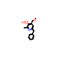 COCc1cc(Cc2ccccc2)nc(C)c1O